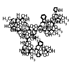 CC(C)C[C@H](NC(=O)[C@H](C)NC(=O)CNC(=O)[C@H](CO)NC(=O)[C@H](CC(N)=O)NC(=O)[C@H](Cc1c[nH]c2ccccc12)NC(=O)[C@H](CO)NC(=O)[C@@H](NC(=O)[C@@H](NC(=O)[C@@H](NC(=O)[C@@H]1CCCN1)C(C)C)[C@@H](C)O)C(C)C)C(=O)N[C@H](C(=O)N[C@@H](CO)C(=O)NCC(=O)N[C@H](C(=O)N[C@@H](Cc1c[nH]cn1)C(=O)N[C@H](C(=O)N[C@@H](Cc1ccccc1)C(=O)N1CCC[C@H]1C(=O)N[C@@H](C)C(=O)O)[C@@H](C)O)C(C)C)[C@@H](C)O